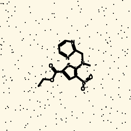 CCOC(=O)c1cc([N+](=O)[O-])c(N(C)Cc2ncccn2)s1